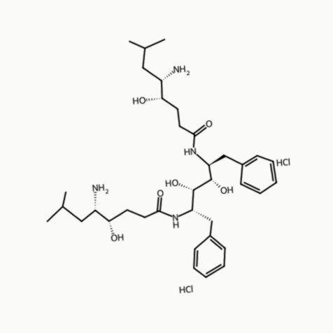 CC(C)C[C@H](N)[C@@H](O)CCC(=O)N[C@@H](Cc1ccccc1)[C@H](O)[C@@H](O)[C@H](Cc1ccccc1)NC(=O)CC[C@H](O)[C@@H](N)CC(C)C.Cl.Cl